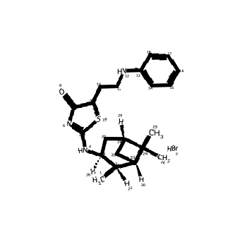 Br.C[C@@H]1[C@@H](NC2=NC(=O)C(CCNc3ccccc3)S2)C[C@H]2C[C@@H]1C2(C)C